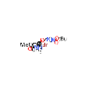 COC(=O)C(C)(C)Nc1ccc(OCCN2CCN(C(=O)OC(C)(C)C)CC2)c(Br)c1